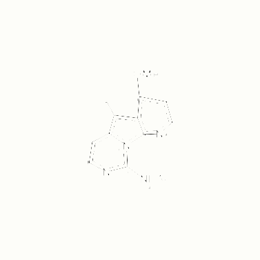 COc1ccnc2c1c(I)c1ccnc(NC(C)=O)n12